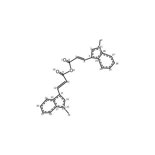 Cn1cc(/C=C/C(=O)OC(=O)/C=C/c2cn(C)c3ccccc23)c2ccccc21